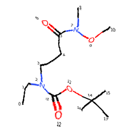 CCN(CCC(=O)N(C)OC)C(=O)OC(C)(C)C